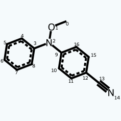 CON(c1ccccc1)c1ccc(C#N)cc1